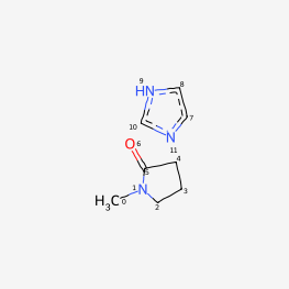 CN1CCCC1=O.c1c[nH]cn1